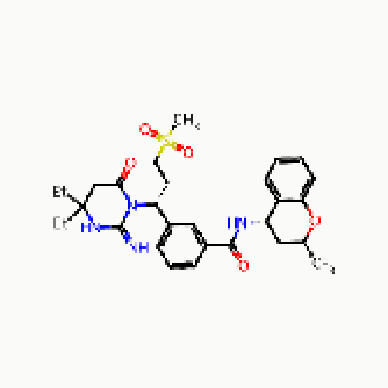 CCC1(CC)CC(=O)N([C@H](CCS(C)(=O)=O)c2cccc(C(=O)N[C@H]3C[C@H](C(F)(F)F)Oc4ccccc43)c2)C(=N)N1